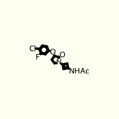 CC(=O)NC12CC(N3CCC(Oc4ccc(Cl)c(F)c4)C3=O)(C1)C2